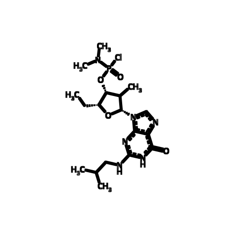 CC[C@H]1O[C@@H](n2cnc3c(=O)[nH]c(NCC(C)C)nc32)C(C)[C@H]1OP(=O)(Cl)N(C)C